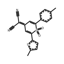 Cc1ccc(C2=CC(=C(C#N)C#N)C=C(c3ccc(C)s3)S2(=O)=O)cc1